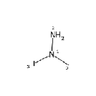 CN(N)I